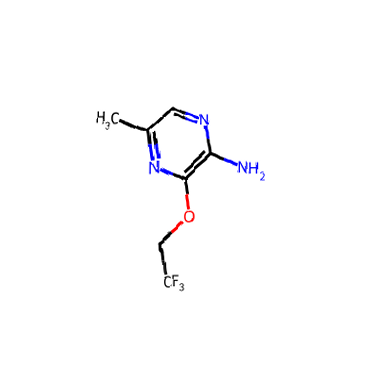 Cc1cnc(N)c(OCC(F)(F)F)n1